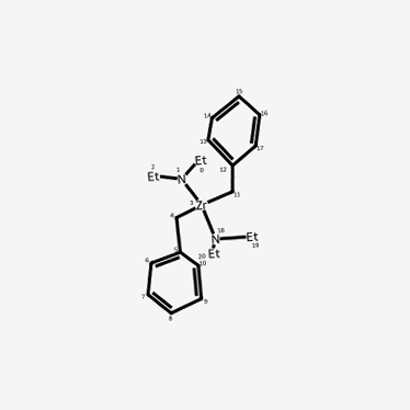 CC[N](CC)[Zr]([CH2]c1ccccc1)([CH2]c1ccccc1)[N](CC)CC